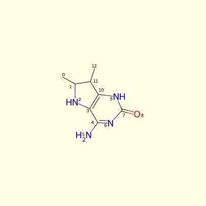 CC1Nc2c(N)nc(=O)[nH]c2C1C